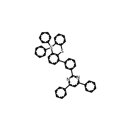 c1ccc(-c2cc(-c3ccccc3)nc(-c3cccc(-c4cccc5c4Sc4ccccc4S5(c4ccccc4)c4ccccc4)c3)n2)cc1